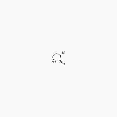 O=C1CCCN1.[N]